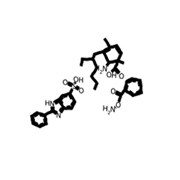 CCCCC(CC)CC1=C(C)C=CC(C)(C(=O)O)C1N.NOC(=O)c1ccccc1.O=S(=O)(O)c1ccc2nc(-c3ccccc3)[nH]c2c1